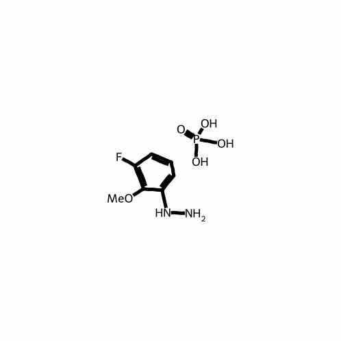 COc1c(F)cccc1NN.O=P(O)(O)O